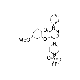 CCCS(=O)(=O)N1CCN(c2cnn(-c3ccccc3)c(=O)c2OC2CCCC(OC)C2)CC1